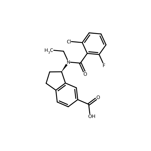 CCN(C(=O)c1c(F)cccc1Cl)[C@@H]1CCc2ccc(C(=O)O)cc21